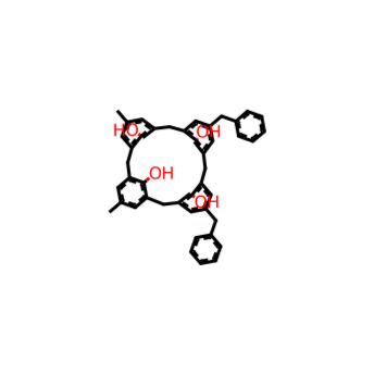 Cc1cc2c(O)c(c1)Cc1cc(Cc3ccccc3)cc(c1O)Cc1cc(Cc3ccccc3)cc(c1O)Cc1cc(C)cc(c1O)C2